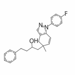 CC1(CC(O)CCc2ccccc2)C=Cc2c(cnn2-c2ccc(F)cc2)C1